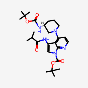 CC(C)C(=O)Nc1cn(C(=O)OC(C)(C)C)c2nccc(N3CCC[C@@H](NC(=O)OC(C)(C)C)C3)c12